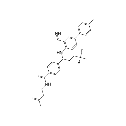 C=C(C)CCNC(=C)c1ccc(C(CCC(C)(F)F)Nc2ccc(-c3ccc(C)cc3)cc2C=N)cc1